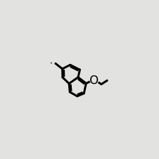 [CH2]c1ccc2c(OCC)cccc2c1